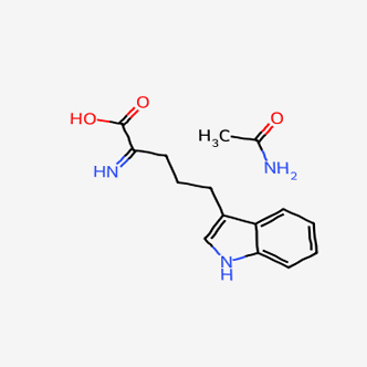 CC(N)=O.N=C(CCCc1c[nH]c2ccccc12)C(=O)O